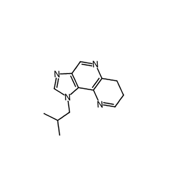 CC(C)Cn1cnc2cnc3c(c21)N=CCC3